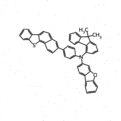 CC1(C)c2ccccc2-c2c(N(c3ccc(-c4ccc5c(ccc6c7ccccc7sc56)c4)cc3)c3ccc4c(c3)oc3ccccc34)cccc21